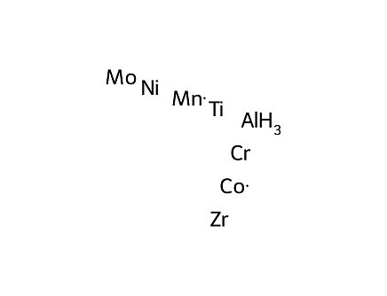 [AlH3].[Co].[Cr].[Mn].[Mo].[Ni].[Ti].[Zr]